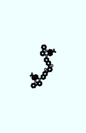 CC(C)c1ccc(N(c2ccc3cc4c(cc3c2)oc2c4ccc3oc4cc5cc(N(c6ccc(C(C)C)cc6)c6cccc7c8ccccc8n(-c8ccccc8)c67)ccc5cc4c32)c2cccc3c4ccccc4n(-c4ccccc4)c23)cc1